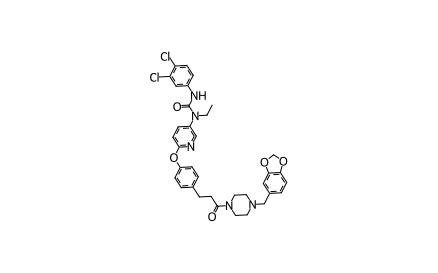 CCN(C(=O)Nc1ccc(Cl)c(Cl)c1)c1ccc(Oc2ccc(CCC(=O)N3CCN(Cc4ccc5c(c4)OCO5)CC3)cc2)nc1